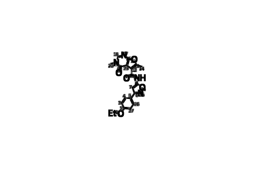 CCOc1ccc(-c2cc(NC(=O)c3c(C)oc4ncn(C)c(=O)c34)on2)cc1